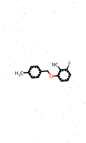 Cc1ccc(COc2cccc(F)c2C#N)cc1